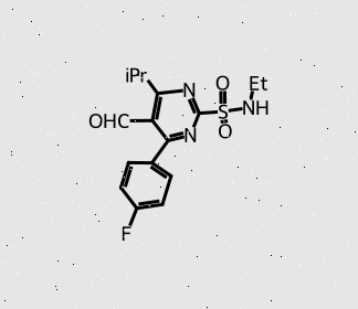 CCNS(=O)(=O)c1nc(-c2ccc(F)cc2)c(C=O)c(C(C)C)n1